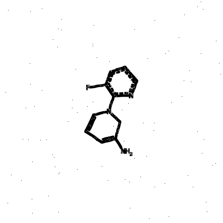 NC1=CC=CN(c2ncccc2F)C1